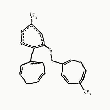 FC(F)(F)C1=CCC=C(SOc2cc(C(F)(F)F)nnc2C2=CC=CCC=C2)C=C1